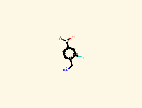 NCc1ccc(B(O)O)cc1F